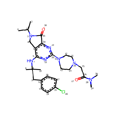 CC(C)N1Cc2c(NC(C)(C)Cc3ccc(Cl)cc3)nc(N3CCN(CC(=O)N(C)C)CC3)nc2C1=O